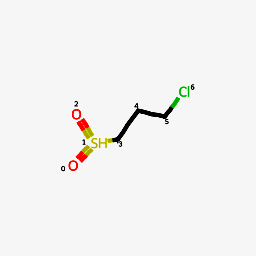 O=[SH](=O)[CH]CCCl